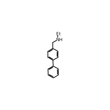 CCNCc1ccc(-c2ccccc2)cc1